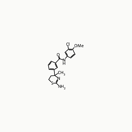 COc1ccc(NC(=O)c2cccc(C3(C)CCSC(N)=N3)c2)cc1Cl